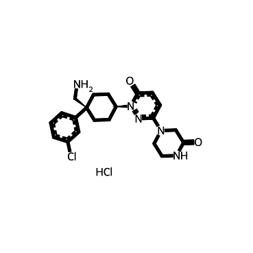 Cl.NC[C@]1(c2cccc(Cl)c2)CC[C@H](n2nc(N3CCNC(=O)C3)ccc2=O)CC1